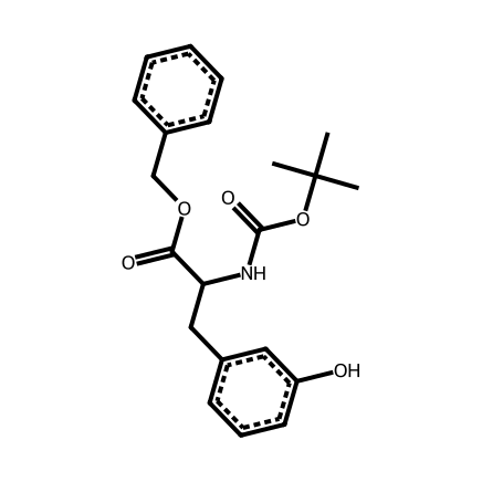 CC(C)(C)OC(=O)NC(Cc1cccc(O)c1)C(=O)OCc1ccccc1